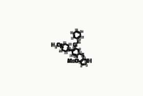 COc1cc[nH]c1Sc1cc(OCc2ccccc2)c(N2CCN(C)CC2)cn1